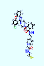 O=C(CN1CCC(CCNC(=O)C2CCCCC2C(=O)N2CCN(C3=Nc4ccccc4Oc4ccc(Cl)cc43)CC2)CC1)NCCS